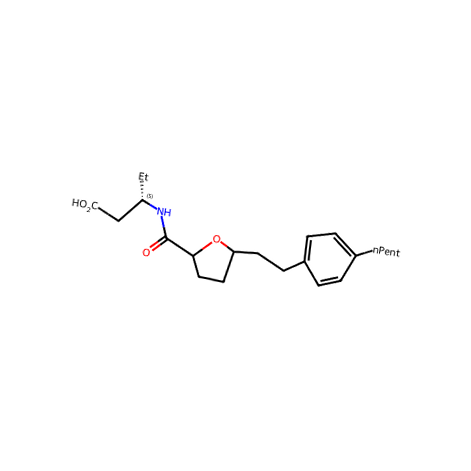 CCCCCc1ccc(CCC2CCC(C(=O)N[C@@H](CC)CC(=O)O)O2)cc1